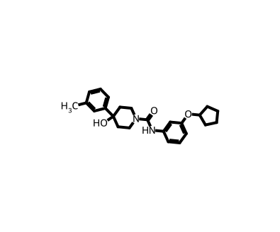 Cc1cccc(C2(O)CCN(C(=O)Nc3cccc(OC4CCCC4)c3)CC2)c1